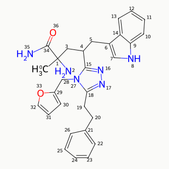 CC(N)(CC(Cc1c[nH]c2ccccc12)c1nnc(CCc2ccccc2)n1Cc1ccco1)C(N)=O